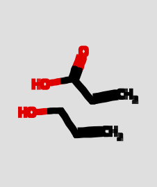 C=CC(=O)O.C=CCO